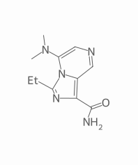 CCc1nc(C(N)=O)c2cncc(N(C)C)n12